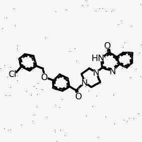 O=C(c1ccc(OCc2cccc(Cl)c2)cc1)N1CCN(c2nc3ccccc3c(=O)[nH]2)CC1